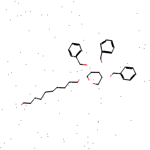 C[C@@H]1O[C@H](OCCCCCCCCCCO)[C@@H](OCc2ccccc2)[C@H](OCc2ccccc2)[C@@H]1OCc1ccccc1